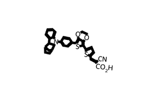 N#C/C(=C\c1ccc(-c2sc(-c3ccc(N4c5ccccc5C5C6CCC(C6)C54)cc3)c3c2OCCO3)s1)C(=O)O